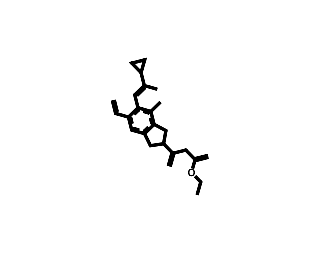 C=Cc1cc2c(c(C)c1/C=C(\C)C1CC1)CC(C(=C)CC(=C)OCC)C2